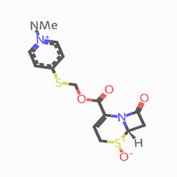 CN[n+]1ccc(SCOC(=O)C2=CC[S+]([O-])[C@H]3CC(=O)N23)cc1